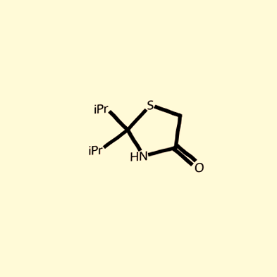 CC(C)C1(C(C)C)NC(=O)CS1